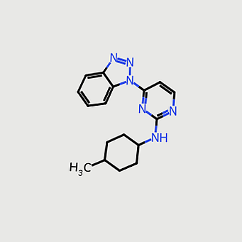 CC1CCC(Nc2nccc(-n3nnc4ccccc43)n2)CC1